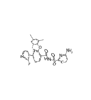 Cc1cc(C)c(Oc2nc(-c3ccncc3F)ccc2C(=O)NS(=O)(=O)c2cccc(N)n2)c(C)c1